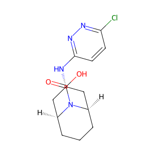 O=C(O)N1[C@@H]2CCC[C@H]1C[C@H](Nc1ccc(Cl)nn1)C2